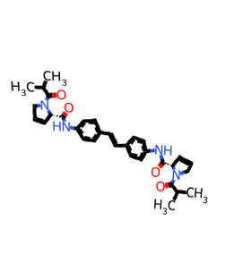 CC(C)C(=O)N1CC=C[C@H]1C(=O)Nc1ccc(/C=C/c2ccc(NC(=O)[C@@H]3C=CCN3C(=O)C(C)C)cc2)cc1